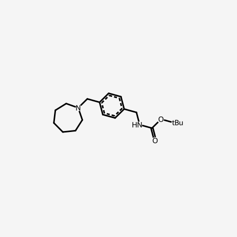 CC(C)(C)OC(=O)NCc1ccc(CN2CCCCCC2)cc1